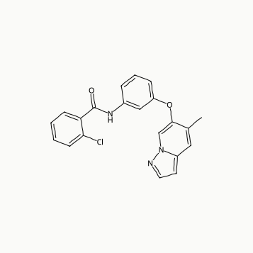 Cc1cc2ccnn2cc1Oc1cccc(NC(=O)c2ccccc2Cl)c1